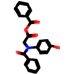 O=C(CN(C(=O)c1ccccc1)c1ccc(O)cc1)OC(=O)c1ccccc1